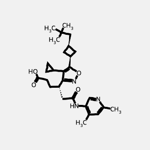 Cc1cc(C)c(NC(=O)C[C@H](CCC(=O)O)c2noc([C@H]3C[C@@H](CC(C)(C)C)C3)c2C2CC2)cn1